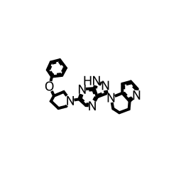 c1ccc(OC2CCCN(c3cnc4c(N5CCCc6ncccc65)n[nH]c4n3)C2)cc1